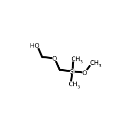 CO[Si](C)(C)COCO